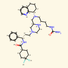 NC(=O)NCCCCN(CC1CN(CC[C@H](NC(=O)C2CCC(F)(F)CC2)c2ccccc2)CCN1)[C@H]1CCCc2cccnc21